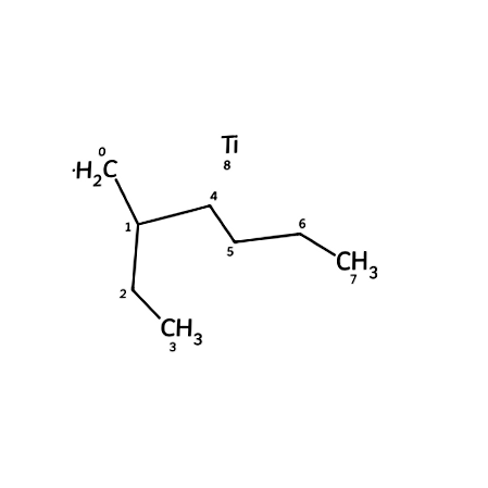 [CH2]C(CC)CCCC.[Ti]